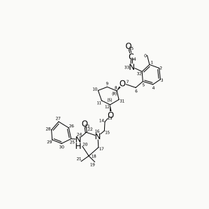 Cc1cccc(CO[C@@H]2CCC[C@H](OCCN(CC(C)(C)C)C(=O)Nc3ccccc3)C2)c1N=C=O